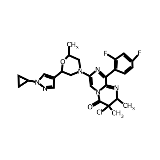 CC1CN(C2=CN3C(=O)C(C)(Cl)C(C)N=C3C(c3ccc(F)cc3F)=N2)CC(c2cnn(C3CC3)c2)O1